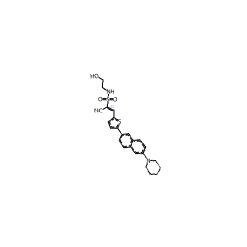 N#C/C(=C\c1ccc(-c2ccc3cc(N4CCCCC4)ccc3c2)s1)S(=O)(=O)NCCO